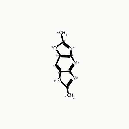 Cc1nc2nc3nc(C)oc3cc2o1